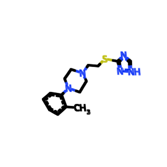 Cc1ccccc1N1CCN(CCSc2nc[nH]n2)CC1